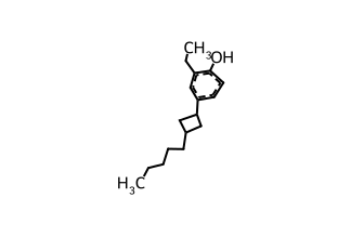 CCCCCC1CC(c2ccc(O)c(CC)c2)C1